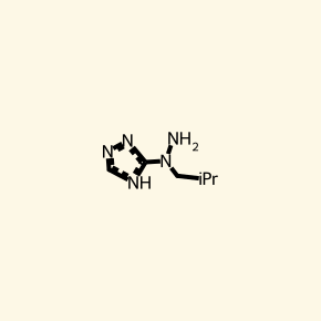 CC(C)CN(N)c1nnc[nH]1